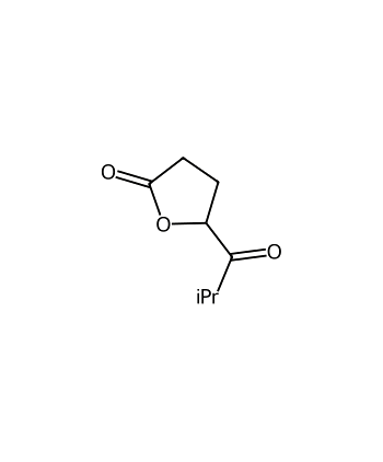 CC(C)C(=O)C1CCC(=O)O1